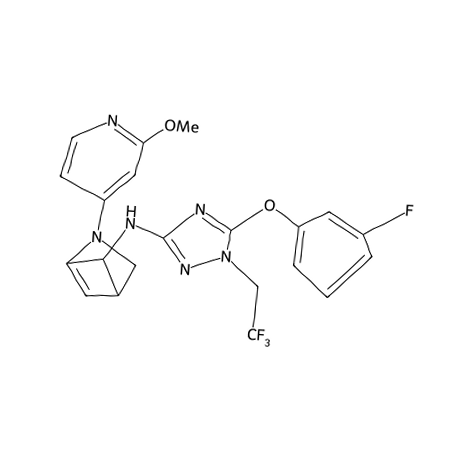 COc1cc(N2CC3C=C2C3Nc2nc(Oc3cccc(F)c3)n(CC(F)(F)F)n2)ccn1